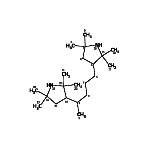 CC(CCCC1CC(C)(C)NC1(C)C)C1CC(C)(C)NC1(C)C